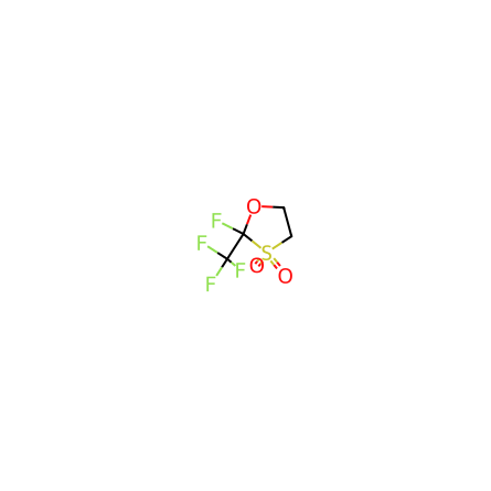 O=S1(=O)CCOC1(F)C(F)(F)F